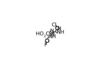 C[C@H](Nc1nc(C2CNc3ncc(Cl)cc32)ncc1C(=O)O)c1ccc(F)cc1